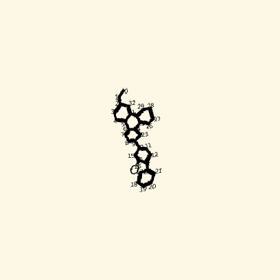 CCc1ccc2c3ccc(-c4ccc5c(c4)oc4ccccc45)cc3c3ccccc3c2c1